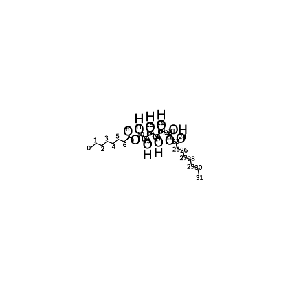 CCCCCCCC(=O)OC(O)[C@@H](O)[C@@H](O)[C@H](O)[C@H](O)C(O)OC(=O)CCCCCCC